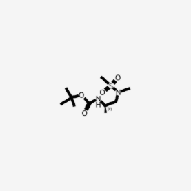 C[C@H](CN(C)S(C)(=O)=O)NC(=O)OC(C)(C)C